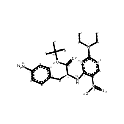 CCN(CC)c1ncc([N+](=O)[O-])c(N[C@@H](Cc2ccc(N)cc2)C(=O)OC(C)(C)C)n1